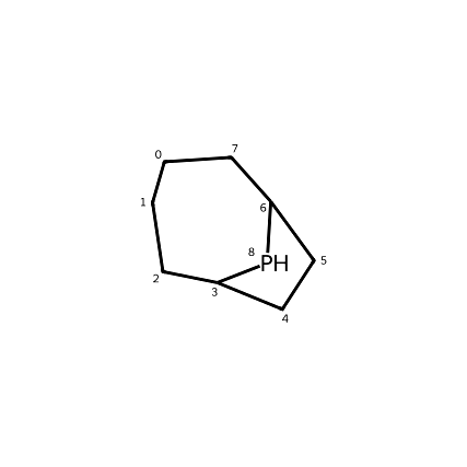 C1CCC2CCC(C1)P2